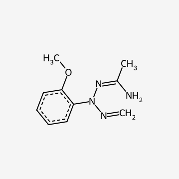 C=NN(/N=C(/C)N)c1ccccc1OC